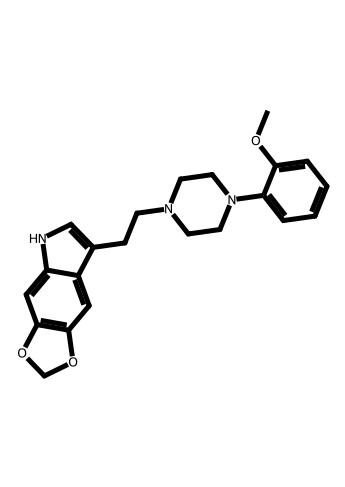 COc1ccccc1N1CCN(CCc2c[nH]c3cc4c(cc23)OCO4)CC1